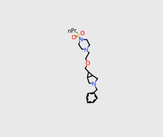 CCCS(=O)(=O)N1CCN(CCOCC2C3CN(Cc4ccccc4)CC23)CC1